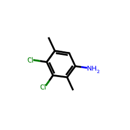 Cc1cc(N)c(C)c(Cl)c1Cl